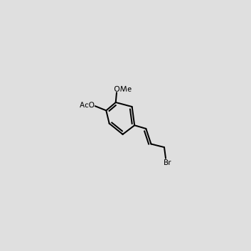 COc1cc(/C=C/CBr)ccc1OC(C)=O